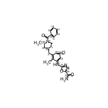 Cc1c(CN2CCN(C(=O)c3ccccc3)[C@@H](C)C2)cc(Cl)cc1Nc1nnc(C(N)=O)o1